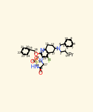 CC(C)CCN(Cc1ccccc1)C1CCc2nc(OCc3ccccc3)c(N3CC(=O)NS3(=O)=O)c(F)c2C1